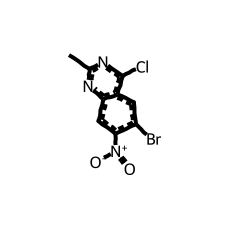 Cc1nc(Cl)c2cc(Br)c([N+](=O)[O-])cc2n1